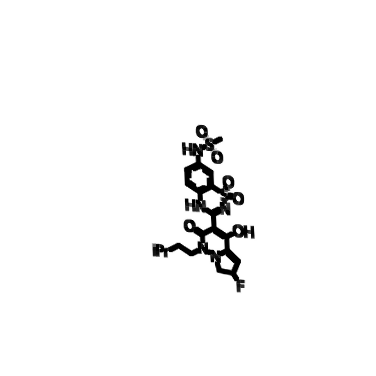 CC(C)CCN1C(=O)C(C2=NS(=O)(=O)c3cc(NS(C)(=O)=O)ccc3N2)=C(O)C2=CC(F)CN21